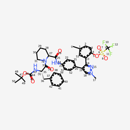 Cc1ccc(OS(=O)(=O)C(F)(F)F)c(-c2nn(C)cc2-c2ccc(NC(=O)C3CCCCN3C(=O)[C@H](Cc3ccccc3)NC(=O)OC(C)(C)C)cc2)c1